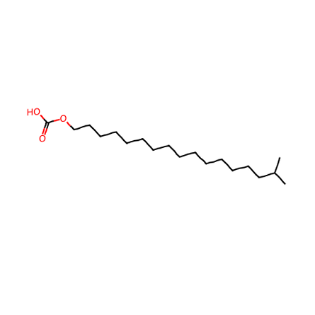 CC(C)CCCCCCCCCCCCCCCOC(=O)O